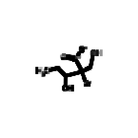 CCC(O)C(Br)(CO)[N+](=O)[O-]